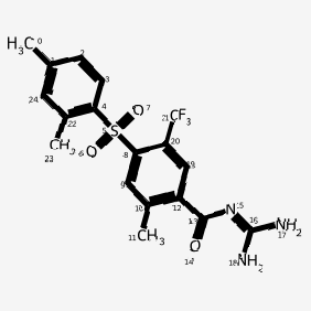 Cc1ccc(S(=O)(=O)c2cc(C)c(C(=O)N=C(N)N)cc2C(F)(F)F)c(C)c1